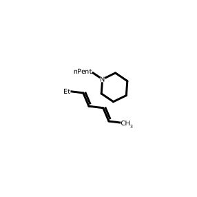 CC=CC=CCC.CCCCCN1CCCCC1